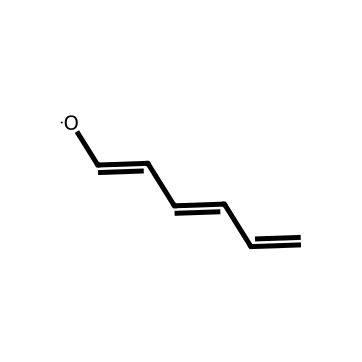 C=CC=CC=C[O]